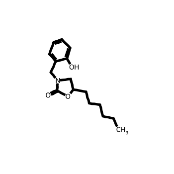 CCCCCCC1CN(Cc2ccccc2O)C(=O)O1